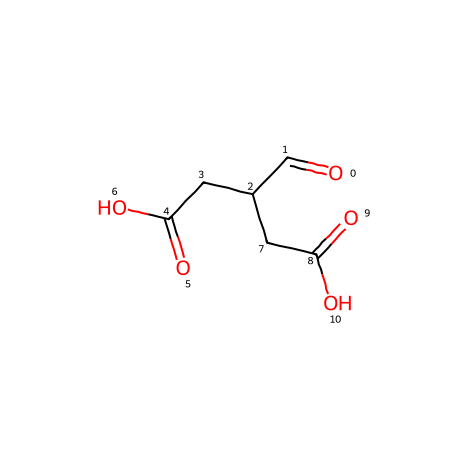 O=CC(CC(=O)O)CC(=O)O